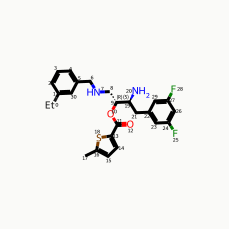 CCc1cccc(CNC[C@@H](OC(=O)c2ccc(C)s2)[C@@H](N)Cc2cc(F)cc(F)c2)c1